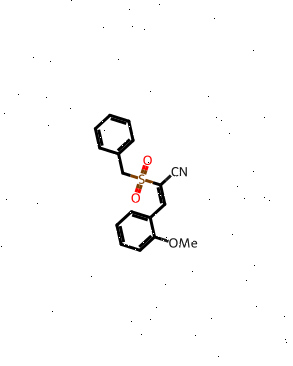 COc1ccccc1C=C(C#N)S(=O)(=O)Cc1ccccc1